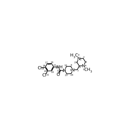 CN1CCN(C)C(CN2CCN(C(=O)Nc3ccc(Cl)c(Cl)c3)CC2)C1